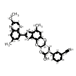 COc1cnc2c(-c3nc4c(C)cc5c(c4s3)OC[C@@H](CN(C(=O)O)c3cccc(C#N)c3)O5)cc(C)cc2n1